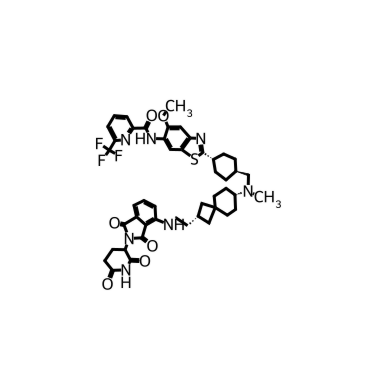 COc1cc2nc([C@H]3CC[C@H](CN(C)[C@H]4CCC5(CC4)C[C@@H](CCNc4cccc6c4C(=O)N(C4CCC(=O)NC4=O)C6=O)C5)CC3)sc2cc1NC(=O)c1cccc(C(F)(F)F)n1